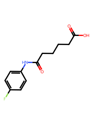 O=C(O)CCCCC(=O)Nc1ccc(F)cc1